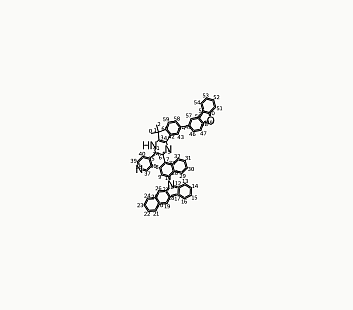 CC1(C)C2=C(N=C(c3ccc(-n4c5ccccc5c5cc6ccccc6cc54)c4ccccc34)C(c3ccncc3)N2)c2cc(-c3ccc4oc5ccccc5c4c3)ccc21